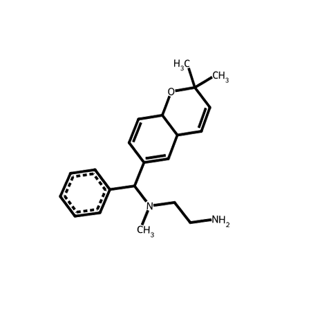 CN(CCN)C(C1=CC2C=CC(C)(C)OC2C=C1)c1ccccc1